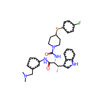 C[C@@H](c1c[nH]c2ccccc12)[C@@H](NC(=O)N1CCC(Sc2ccc(F)cc2)CC1)C(=O)Nc1cccc(CN(C)C)c1